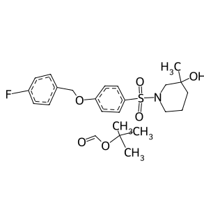 CC(C)(C)OC=O.CC1(O)CCCN(S(=O)(=O)c2ccc(OCc3ccc(F)cc3)cc2)C1